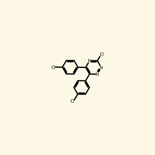 Clc1ccc(-c2nnc(Cl)nc2-c2ccc(Cl)cc2)cc1